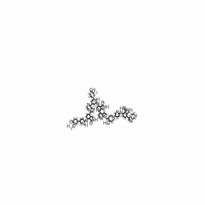 CN1CCN(c2cc(-c3nccn4c(-c5ccc(Nc6ccc([C@@H]7CCC(=O)N(C)C7)cn6)c6c5CNC6=O)cnc34)cc(Nc3cnc(-c4ccnc5c4ccn5CC4CCN(c5ccc(Nc6ccc(-c7cnc8cnccn78)c7c6C(=O)NC7)nc5)CC[C@H]4O)c4c3C(=O)NC4)n2)CC1